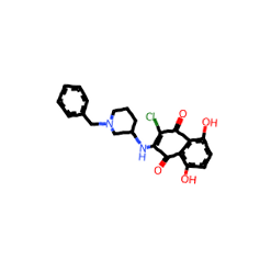 O=C1C(Cl)=C(NC2CCCN(Cc3ccccc3)C2)C(=O)c2c(O)ccc(O)c21